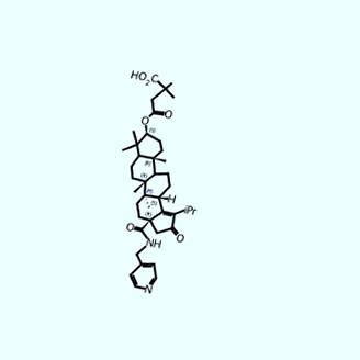 CC(C)C1=C2[C@H]3CCC4[C@@]5(C)CC[C@H](OC(=O)CC(C)(C)C(=O)O)C(C)(C)C5CC[C@@]4(C)[C@]3(C)CC[C@@]2(C(=O)NCc2ccncc2)CC1=O